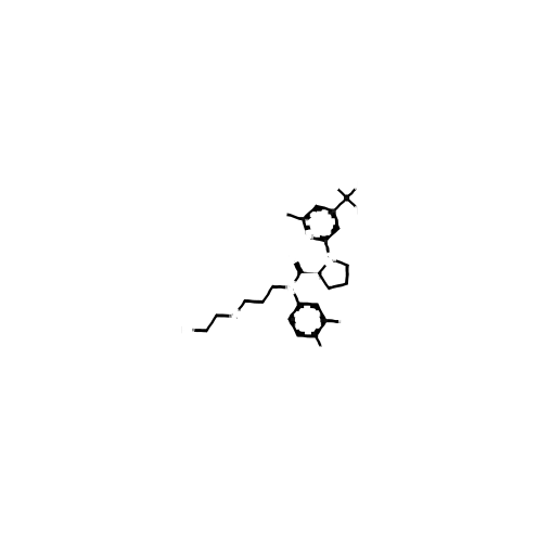 Cc1cc(C(F)(F)F)cc(N2CCC[C@H]2C(=O)N(CCCNCCO)c2ccc(F)c(Cl)c2)n1